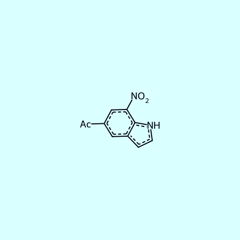 CC(=O)c1cc([N+](=O)[O-])c2[nH]ccc2c1